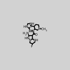 CC1NCNN1C1CCN(C)CC1NC(=O)C1C(N)NN2CC(F)CNC12